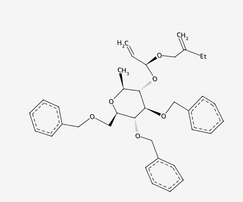 C=C[C@@H](OCC(=C)CC)O[C@@H]1[C@@H](OCc2ccccc2)[C@H](OCc2ccccc2)[C@@H](COCc2ccccc2)O[C@H]1C